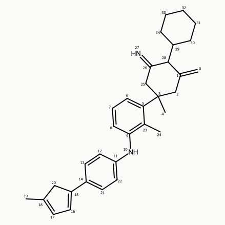 C=C1CC(C)(c2cccc(Nc3ccc(C4=CC=C(C)C4)cc3)c2C)CC(=N)C1C1CCCCC1